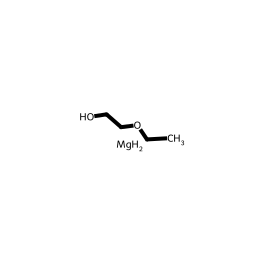 CCOCCO.[MgH2]